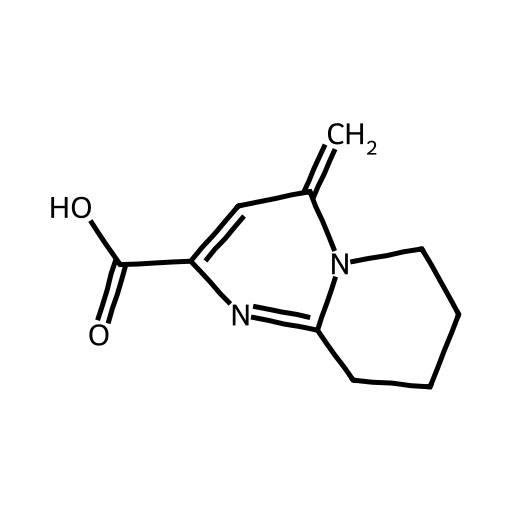 C=C1C=C(C(=O)O)N=C2CCCCN12